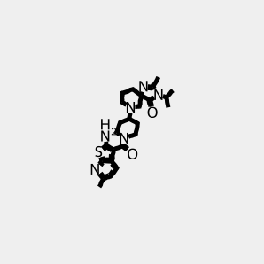 CC1=NC2(CCCN(C3CCN(C(=O)c4c(N)sc5nc(C)ccc45)CC3)C2)C(=O)N1C(C)C